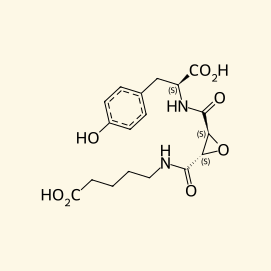 O=C(O)CCCCNC(=O)[C@H]1O[C@@H]1C(=O)N[C@@H](Cc1ccc(O)cc1)C(=O)O